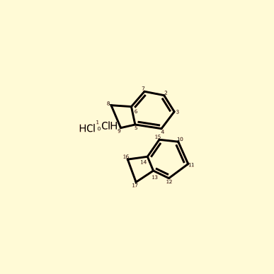 Cl.Cl.c1ccc2c(c1)CC2.c1ccc2c(c1)CC2